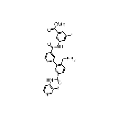 COC(=O)c1cc(F)cc(NC(=O)c2cccc(-c3cc(C(=O)Nc4ccncc4F)ccc3CN)c2)c1